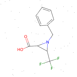 O=C(O)C1C(C(F)(F)F)N1Cc1ccccc1